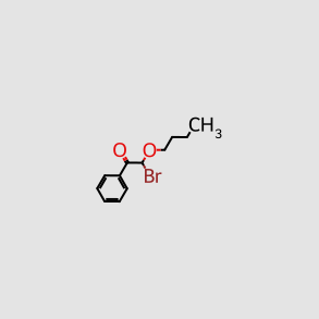 CCCCOC(Br)C(=O)c1ccccc1